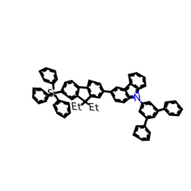 CCC1(CC)c2cc(-c3ccc4c(c3)c3ccccc3n4-c3cc(-c4ccccc4)cc(-c4ccccc4)c3)ccc2-c2ccc([Si](c3ccccc3)(c3ccccc3)c3ccccc3)cc21